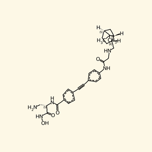 CC1(C)[C@H]2CC[C@@H](CNCC(=O)Nc3ccc(C#Cc4ccc(C(=O)N[C@@H](CN)C(=O)NO)cc4)cc3)[C@H]1C2